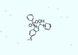 CSc1ccc2c(c1)cc(C(O)N1C=CC#CC1)n2S(=O)(=O)c1ccccc1